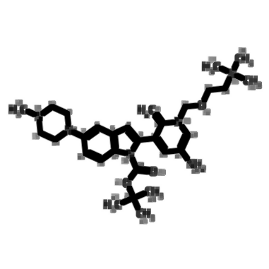 C=C1C(c2cc3cc(N4CCN(C)CC4)ccc3n2C(=O)OC(C)(C)C)=CC(N)=CN1COCC[Si](C)(C)C